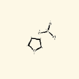 C1CCOC1.ClP(Cl)Cl